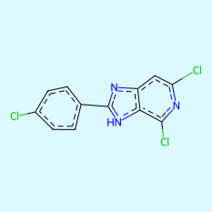 Clc1ccc(-c2nc3cc(Cl)nc(Cl)c3[nH]2)cc1